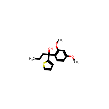 CCCC(O)(c1cccs1)c1ccc(OC)cc1OC